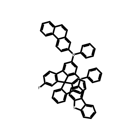 Fc1ccc2c(c1)C1(c3ccccc3-c3ccccc31)c1c-2cc(N(c2ccccc2)c2ccc3c(ccc4ccccc43)c2)cc1N(c1ccccc1)c1ccc2sc3ccccc3c2c1